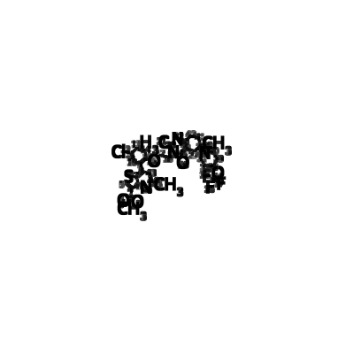 COC(=O)c1csc2c(-c3cc(Cl)ccc3OCCn3c(C)nc4c(c3=O)CC(C)(N3CCC(OC(F)(F)F)CC3)CC4)cc(C)nc12